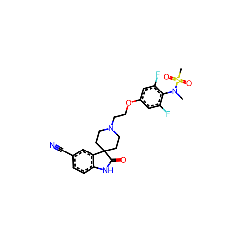 CN(c1c(F)cc(OCCN2CCC3(CC2)C(=O)Nc2ccc(C#N)cc23)cc1F)S(C)(=O)=O